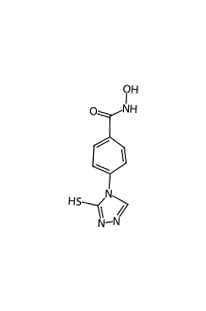 O=C(NO)c1ccc(-n2cnnc2S)cc1